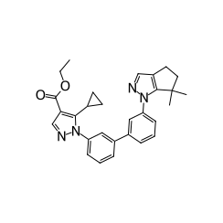 CCOC(=O)c1cnn(-c2cccc(-c3cccc(-n4ncc5c4C(C)(C)CC5)c3)c2)c1C1CC1